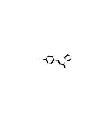 C=C(/C=C/c1ccc(OC)cc1)n1ccnc1